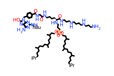 CCCCNc1nc(N)c2nc(O)n(Cc3ccc(C(=O)NCC(=O)NCCCC[C@H](NCCCP(=O)(OCCC(C)CCCC(C)CCCC(C)CCCC(C)C)OCCC(C)CCCC(C)CCCC(C)CCCC(C)C)C(=O)NCCCNCCCCNCCCN)cc3)c2n1